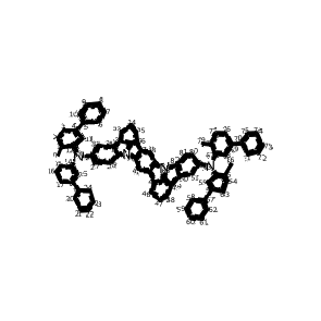 Cc1ccc(-c2ccccc2)cc1N(c1cccc(-c2ccccc2)c1)c1ccc2c(c1)c1cccc3c4cc5c(cc4n2c13)c1cccc2c3cc(N(c4cc(-c6ccccc6)ccc4C)c4cc(-c6ccccc6)ccc4C)ccc3n5c21